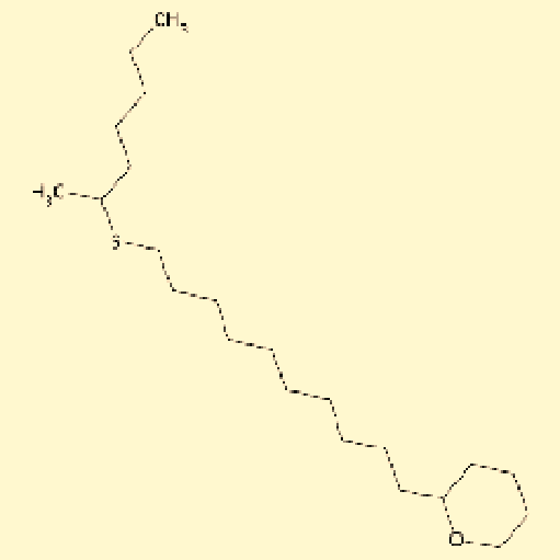 CCCCCC(C)SCCCCCCCCCCC1CCCCO1